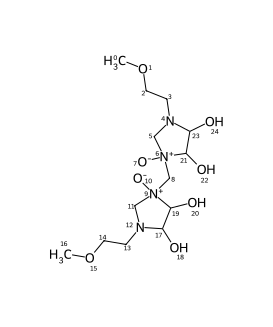 COCCN1C[N+]([O-])(C[N+]2([O-])CN(CCOC)C(O)C2O)C(O)C1O